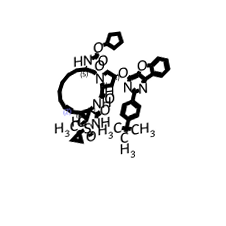 CC(C)(C)c1ccc(-c2nc(O[C@@H]3C[C@H]4C(=O)N[C@]5(C(=O)NS(=O)(=O)C6(C)CC6)C[C@H]5/C=C\CCCCC[C@H](NC(=O)OC5CCCC5)C(=O)N4C3)c3oc4ccccc4c3n2)cc1